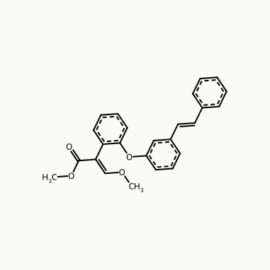 CO/C=C(/C(=O)OC)c1ccccc1Oc1cccc(/C=C/c2ccccc2)c1